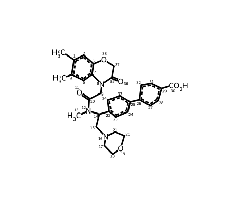 Cc1cc2c(cc1C)N(CC(=O)N(C)C(CN1CCOCC1)c1ccc(-c3ccc(C(=O)O)cc3)cc1)C(=O)CO2